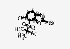 CC(=O)C(C)(C)S(=O)(=O)c1c(Cl)ccc2nc(C(C)(C)C)oc12